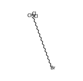 Cl[Si](Cl)(Cl)CCCCCCCCCCCCCCCCCCCCCCCCCCCBr